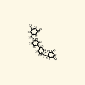 Cc1cc(C)cc(C[n+]2ccc(-c3cc[n+](Cc4cc(C)cc(C)c4)cc3)cc2)c1